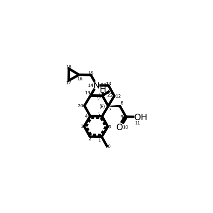 Cc1ccc2c(c1)[C@@]1(CC(=O)O)CCN(CC3CC3)C(C2)[C@@H]1C